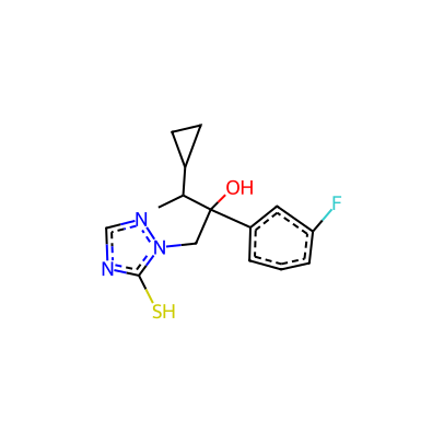 CC(C1CC1)C(O)(Cn1ncnc1S)c1cccc(F)c1